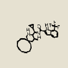 CC1CC2(CCCCCCCCCC2)CNC1C(NC(=O)c1cc2cccc(C(F)(F)F)c2[nH]1)C1CC1